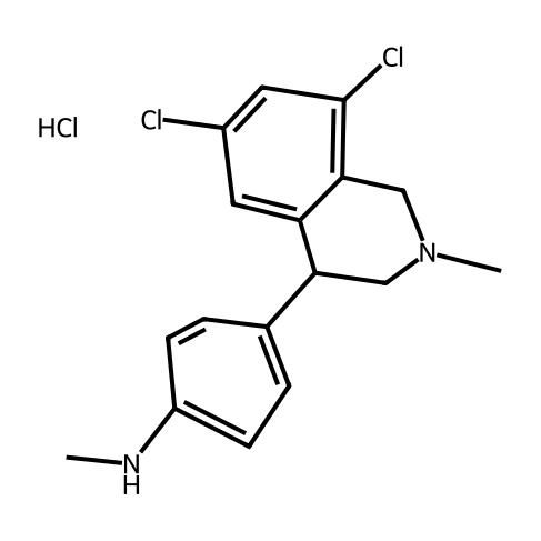 CNc1ccc(C2CN(C)Cc3c(Cl)cc(Cl)cc32)cc1.Cl